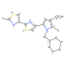 Cc1nc(-c2nc(-c3cc(C(=O)O)c(C)n3CC3CCCCC3)cs2)cs1